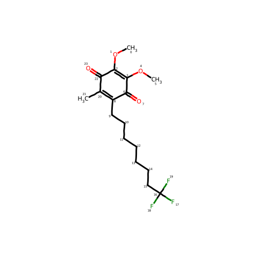 COC1=C(OC)C(=O)C(CCCCCCCC(F)(F)F)=C(C)C1=O